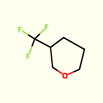 FC(F)(F)C1CCCOC1